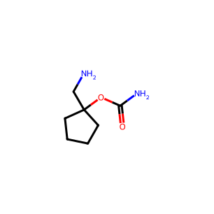 NCC1(OC(N)=O)CCCC1